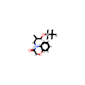 CC(CO[Si](C)(C)C(C)(C)C)CN1C(=O)COc2ccccc21